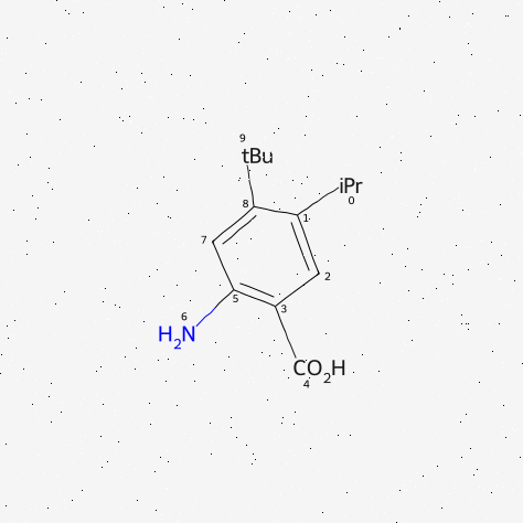 CC(C)c1cc(C(=O)O)c(N)cc1C(C)(C)C